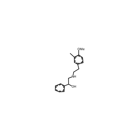 COc1ccc(CCNCC(O)c2ccccc2)cc1C